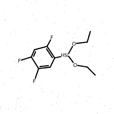 CCO[SiH](OCC)c1cc(F)c(F)cc1F